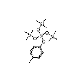 Cc1ccc(O[Si](O[Si](C)(C)C)(O[Si](C)(C)C)O[Si](C)(C)C)cc1